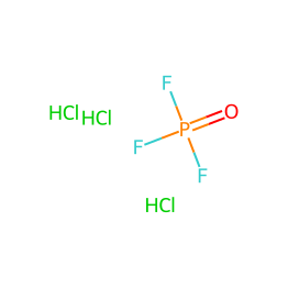 Cl.Cl.Cl.O=P(F)(F)F